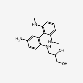 CNc1cccc(NC)c1-c1cc(N)ccc1NCC(O)CO